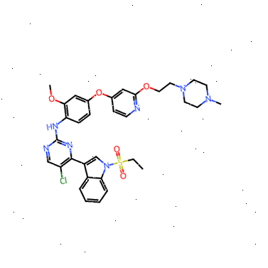 CCS(=O)(=O)n1cc(-c2nc(Nc3ccc(Oc4ccnc(OCCN5CCN(C)CC5)c4)cc3OC)ncc2Cl)c2ccccc21